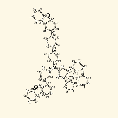 c1ccc(C2(c3ccccc3)c3ccccc3-c3cc(N(c4ccc(-c5ccc(-c6ccc7oc8ccccc8c7c6)cc5)cc4)c4cccc(-c5cccc6c5oc5ccccc56)c4)ccc32)cc1